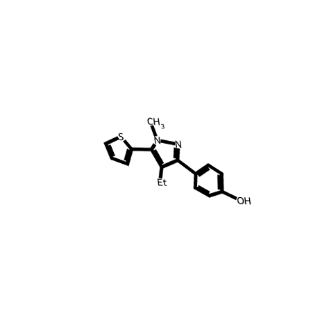 CCc1c(-c2ccc(O)cc2)nn(C)c1-c1cccs1